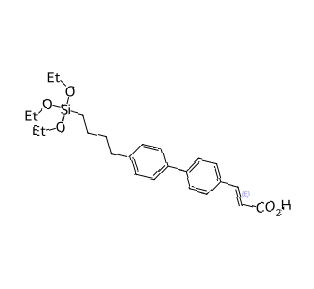 CCO[Si](CCCCc1ccc(-c2ccc(/C=C/C(=O)O)cc2)cc1)(OCC)OCC